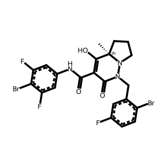 C[C@]12CCCN1N(Cc1cc(F)ccc1Br)C(=O)C(C(=O)Nc1cc(F)c(Br)c(F)c1)=C2O